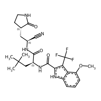 COc1cccc2[nH]c(C(=O)N[C@@H](CC(C)(C)C)C(=O)N[C@H](C#N)C[C@@H]3CCNC3=O)c(C(F)(F)F)c12